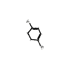 CC(C)C1=CC=C(C(C)C)CC1